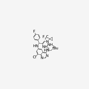 CC(C)(C)CNc1ncnc2c(Cl)cc(NC(/C(N)=C/N(N)C3(C(F)(F)F)CC3)c3ccc(F)cc3)cc12